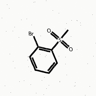 CS(=O)(=O)c1ccc[c]c1Br